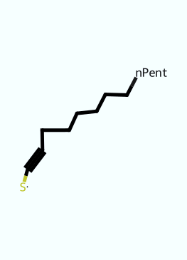 CCCCCCCCCCCC#C[S]